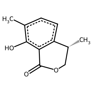 Cc1ccc2c(c1O)C(=O)OC[C@H]2C